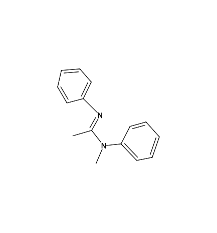 C/C(=N\c1ccccc1)N(C)c1ccccc1